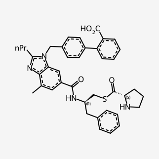 CCCc1nc2c(C)cc(C(=O)N[C@@H](CSC(=O)[C@@H]3CCCN3)Cc3ccccc3)cc2n1Cc1ccc(-c2ccccc2C(=O)O)cc1